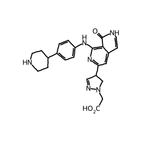 O=C(O)CN1CC(c2cc3cc[nH]c(=O)c3c(Nc3ccc(C4CCNCC4)cc3)n2)C=N1